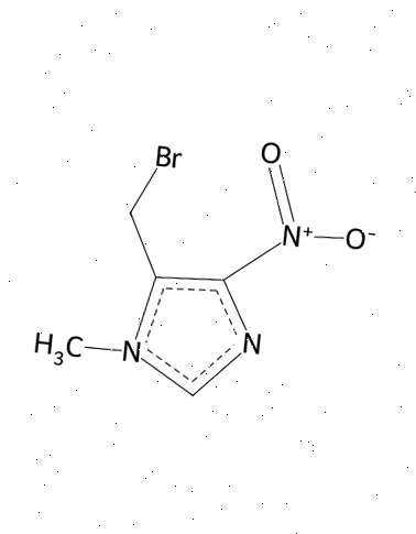 Cn1cnc([N+](=O)[O-])c1CBr